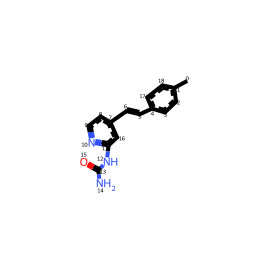 Cc1ccc(C=Cc2ccnc(NC(N)=O)c2)cc1